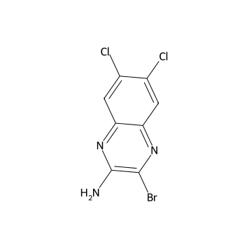 Nc1nc2cc(Cl)c(Cl)cc2nc1Br